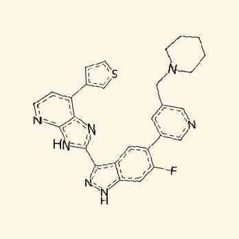 Fc1cc2[nH]nc(-c3nc4c(-c5ccsc5)ccnc4[nH]3)c2cc1-c1cncc(CN2CCCCC2)c1